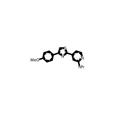 CCCc1cc(-c2nc(-c3ccc(OC)cc3)cs2)ccn1